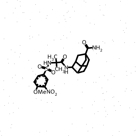 COc1ccc(S(=O)(=O)NC(C)(C)C(=O)NC2C3CC4CC2CC(C(N)=O)(C4)C3)cc1[N+](=O)[O-]